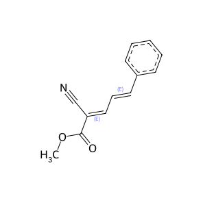 COC(=O)/C(C#N)=C/C=C/c1ccccc1